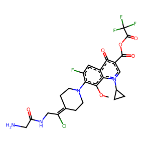 COc1c(N2CCC(=C(Cl)CNC(=O)CN)CC2)c(F)cc2c(=O)c(C(=O)OC(=O)C(F)(F)F)cn(C3CC3)c12